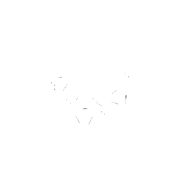 O=C(Nc1cccnc1)c1cccc2[nH]c(-c3cccc(CN4CCCC4)c3)nc12